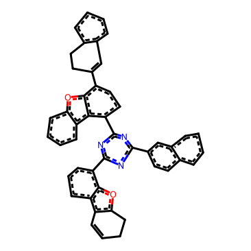 C1=Cc2c(oc3c(-c4nc(-c5ccc6ccccc6c5)nc(-c5ccc(C6=Cc7ccccc7CC6)c6oc7ccccc7c56)n4)cccc23)CC1